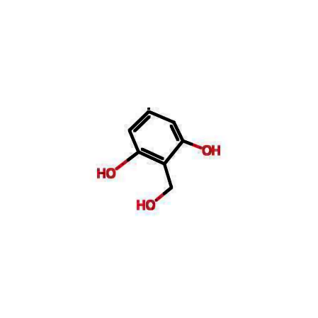 OCc1c(O)c[c]cc1O